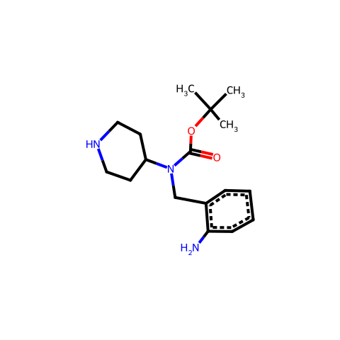 CC(C)(C)OC(=O)N(Cc1ccccc1N)C1CCNCC1